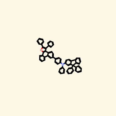 c1ccc(-c2oc3c4ccccc4c4cc(-c5ccc(N(c6ccccc6)c6ccc7c(c6)C(c6ccccc6)(c6ccccc6)c6ccccc6-7)cc5)ccc4c3c2-c2ccccc2)cc1